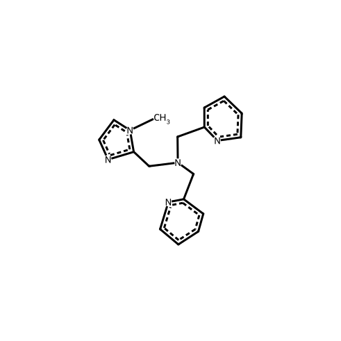 Cn1ccnc1CN(Cc1ccccn1)Cc1ccccn1